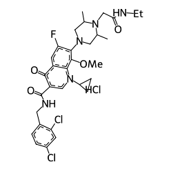 CCNC(=O)CN1C(C)CN(c2c(F)cc3c(=O)c(C(=O)NCc4ccc(Cl)cc4Cl)cn(C4CC4)c3c2OC)CC1C.Cl